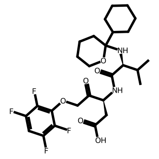 CC(C)[C@H](NC1(C2CCCCC2)CCCCO1)C(=O)N[C@@H](CC(=O)O)C(=O)COc1c(F)c(F)cc(F)c1F